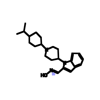 CC(C)C1CCC(N2CCC(n3c(/C=N/O)cc4ccccc43)CC2)CC1